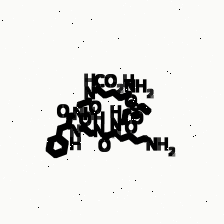 C=CS(=O)(=O)CC(=O)N[C@@H](CCCCN)C(=O)NCC(=O)NC(Cc1ccccc1)C(=O)NCC(=O)NC(CCCCN)C(=O)O